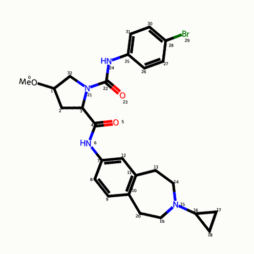 COC1CC(C(=O)Nc2ccc3c(c2)CCN(C2CC2)CC3)N(C(=O)Nc2ccc(Br)cc2)C1